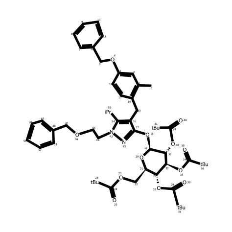 Cc1cc(OCc2ccccc2)ccc1Cc1c(O[C@@H]2O[C@H](COC(=O)C(C)(C)C)[C@@H](OC(=O)C(C)(C)C)[C@H](OC(=O)C(C)(C)C)[C@H]2OC(=O)C(C)(C)C)nn(CCOCc2ccccc2)c1C(C)C